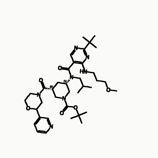 COCCCNc1nc(C(C)(C)C)ncc1C(=O)N(CC(C)C)[C@H]1C[C@@H](C(=O)N2CCOC(c3cccnc3)C2)CN(C(=O)OC(C)(C)C)C1